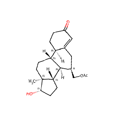 CC(=O)OC[C@@H]1CC2=CC(=O)CC[C@@H]2[C@H]2CC[C@]3(C)[C@@H](O)CC[C@H]3[C@H]12